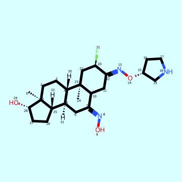 C[C@]12CC[C@H]3[C@@H](C/C(=N\O)C4CC(=NO[C@@H]5CCNC5)[C@H](F)C[C@@]43C)[C@@H]1CC[C@@H]2O